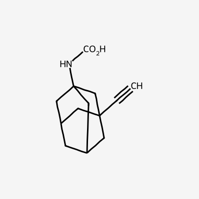 C#CC12CC3CC(C1)CC(NC(=O)O)(C3)C2